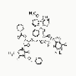 COc1cccc(C(OC[C@H]2O[C@@H](n3cnc4c(=O)[nH]c(N)nc43)[C@H](F)[C@@H]2OCCSC2OC(n3cc(C)c(=O)n(COCc4ccccc4)c3=O)CC2OC(=O)c2ccccc2)(c2ccccc2)c2ccccc2)c1OC